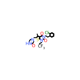 Cc1c(CN2CCNC(=O)C2)sc2c1c(=O)n(CCc1ccccc1Cl)c(=O)n2CCC(F)(F)F